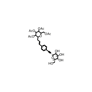 CC(=O)OCC1OC(CC=Cc2ccc(C#C[C@H]3O[C@H](CO)[C@@H](O)[C@H](O)[C@@H]3O)cc2)C(OC(C)=O)C(OC(C)=O)C1OC(C)=O